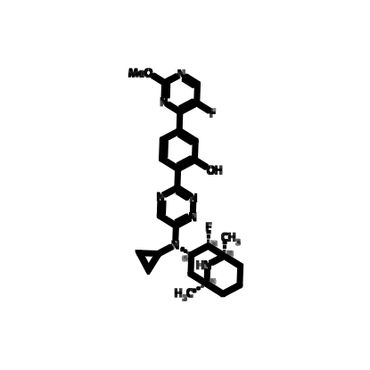 COc1ncc(F)c(-c2ccc(-c3ncc(N(C4CC4)[C@H]4C[C@]5(C)CCC[C@@](C)(N5)[C@H]4F)nn3)c(O)c2)n1